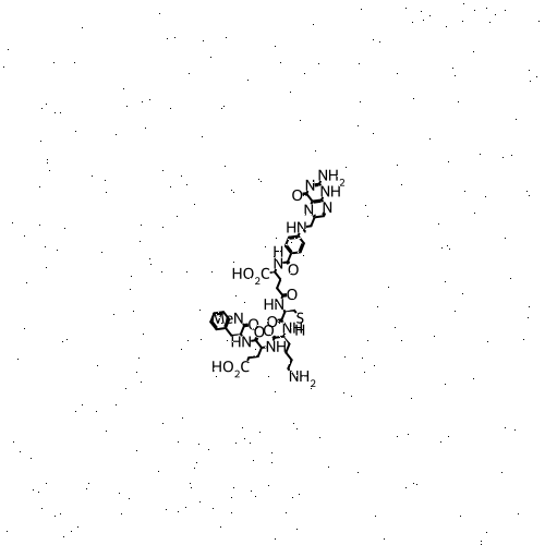 CNC(=O)[C@H](Cc1ccccc1)NC(=O)C(CCC(=O)O)NC(=O)[C@H](CCCCN)NC(=O)[C@H](CS)NC(=O)CC[C@H](NC(=O)c1ccc(NCc2cnc3[nH]c(N)nc(=O)c3n2)cc1)C(=O)O